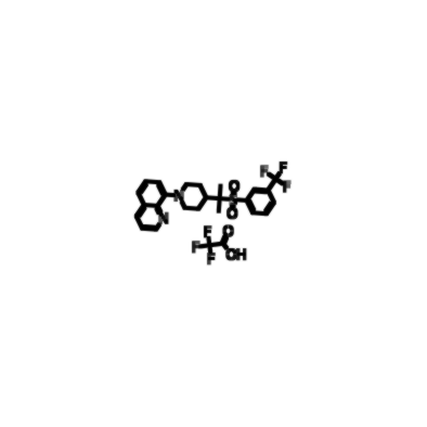 CC(C)(C1CCN(c2cccc3cccnc23)CC1)S(=O)(=O)c1cccc(C(F)(F)F)c1.O=C(O)C(F)(F)F